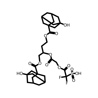 O=C(COC(=O)C(F)(F)S(=O)(=O)O)OC(CCOC(=O)C12CC3CC(CC(O)(C3)C1)C2)COC(=O)C12CC3CC(CC(O)(C3)C1)C2